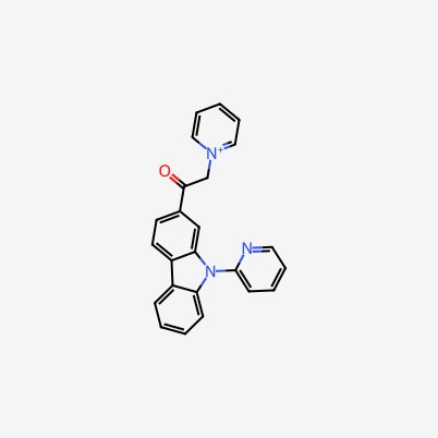 O=C(C[n+]1ccccc1)c1ccc2c3ccccc3n(-c3ccccn3)c2c1